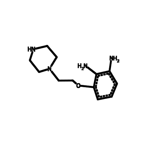 Nc1cccc(OCCN2CCNCC2)c1N